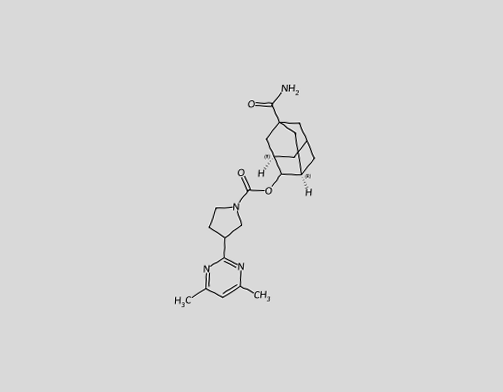 Cc1cc(C)nc(C2CCN(C(=O)OC3[C@@H]4CC5C[C@@H]3CC(C(N)=O)(C5)C4)C2)n1